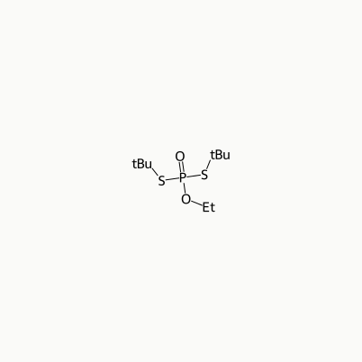 CCOP(=O)(SC(C)(C)C)SC(C)(C)C